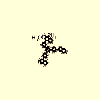 CC/C=C\c1cc(-c2cccc(-c3cc(-c4ccc(-c5cncc6ccccc56)cc4)nc(-c4ccc(-c5ccc6ccccc6c5)cc4)n3)c2)c2ccccc2c1C